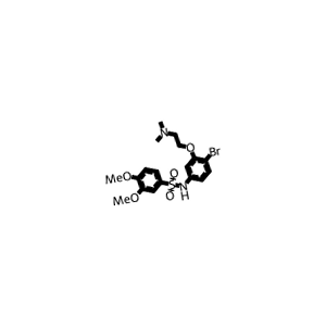 COc1ccc(S(=O)(=O)Nc2ccc(Br)c(OCCN(C)C)c2)cc1OC